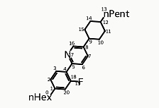 CCCCCCc1ccc(-c2ccc(C3CCC(CCCCC)CC3)cn2)c(F)c1